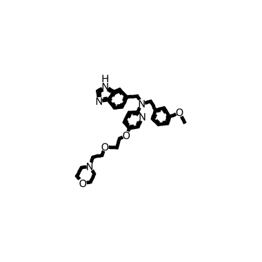 COc1cccc(CN(Cc2ccc3nc[nH]c3c2)c2ccc(OCCOCCN3CCOCC3)cn2)c1